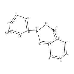 C1=c2ccccc2=NCN1c1cccnc1